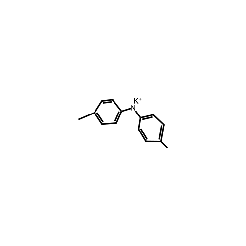 Cc1ccc([N-]c2ccc(C)cc2)cc1.[K+]